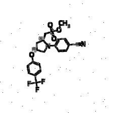 COS(=O)(=O)C[C@@H]1C[C@@H](Oc2ccc(C(F)(F)F)cc2)CN1c1ccc(C#N)cc1